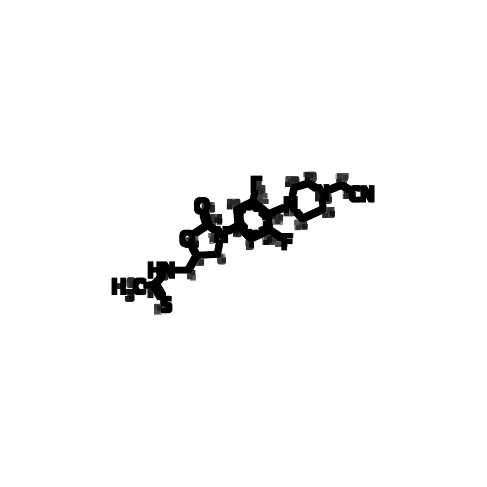 CC(=S)NCC1CN(c2cc(F)c(N3CCN(CC#N)CC3)c(F)c2)C(=O)O1